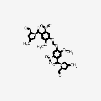 C=C1CC(C=O)N(C(=O)c2cc(OC)c(OCOc3cc([N+](=O)[O-])c(C(=O)N4CC(=C)C[C@H]4C=O)cc3OC)cc2[N+](=O)[O-])C1